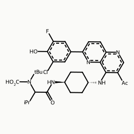 CC(=O)c1cnc2ccc(-c3cc(F)c(O)c(Cl)c3)nc2c1N[C@H]1CC[C@H](NC(=O)C(C(C)C)N(C(=O)O)C(C)(C)C)CC1